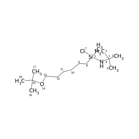 CC(C)(C)N[Si](C)(Cl)CCCCCCOC(C)(C)C